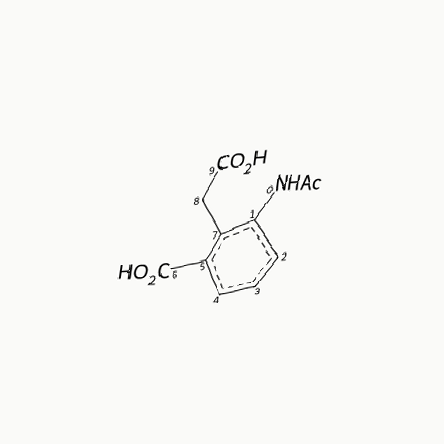 CC(=O)Nc1cccc(C(=O)O)c1CC(=O)O